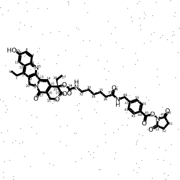 CCc1c2c(nc3ccc(O)cc13)-c1cc3c(c(=O)n1C2)COC(=O)[C@@]3(CC)OC(=O)NCCCCCC(=O)NCc1ccc(C(=O)ON2C(=O)CCC2=O)cc1